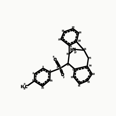 Cc1ccc(S(=O)(=O)C2c3ccccc3CC3NC2c2ccccc23)cc1